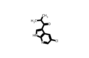 CC(C)C(=O)c1c[nH]c2ncc(Cl)cc12